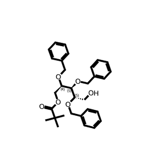 CC(C)(C)C(=O)OC[C@@H](OCc1ccccc1)[C@@H](OCc1ccccc1)[C@H](CO)OCc1ccccc1